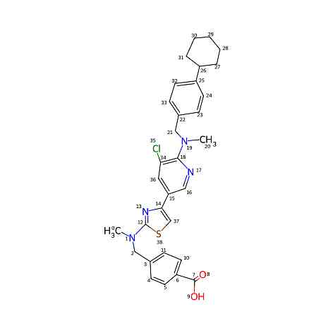 CN(Cc1ccc(C(=O)O)cc1)c1nc(-c2cnc(N(C)Cc3ccc(C4CCCCC4)cc3)c(Cl)c2)cs1